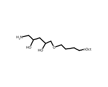 CCCCCCCCCCCCOCC(O)CC(O)CN